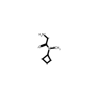 CN(C(=O)CN)C1CCC1